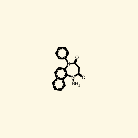 BN1C(=O)CC(=O)N(c2ccccc2)c2ccc3ccccc3c21